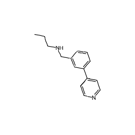 CCCNCc1cccc(-c2ccncc2)c1